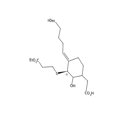 CCCCCCCCCCCCCC=C1CCC(CC(=O)O)C(O)[C@H]1SCCC(=O)OCC